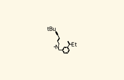 C=C(CC)c1cccc(CN(C)CC=CC#CC(C)(C)C)c1